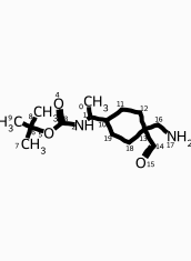 CC(NC(=O)OC(C)(C)C)C1CCC(C=O)(CN)CC1